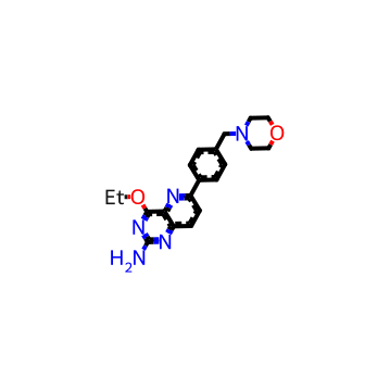 CCOc1nc(N)nc2ccc(-c3ccc(CN4CCOCC4)cc3)nc12